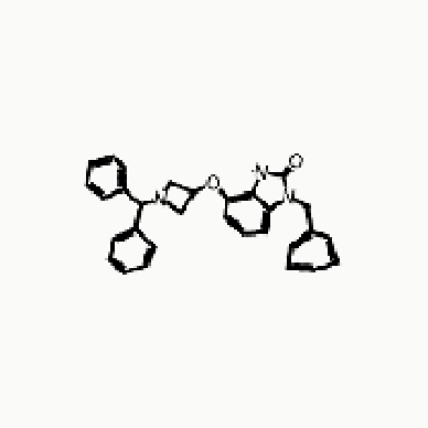 O=C1[N]c2c(OC3CN(C(c4ccccc4)c4ccccc4)C3)cccc2N1Cc1ccccc1